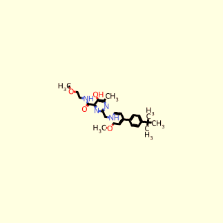 COC/C=C(\C=C/NCc1nc(C)c(O)c(C(=O)NCCOC)n1)c1ccc(C(C)(C)C)cc1